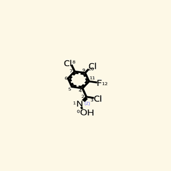 O/N=C(\Cl)c1ccc(Cl)c(Cl)c1F